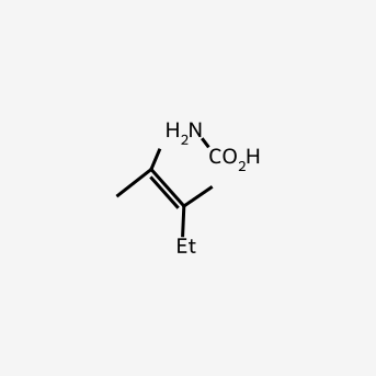 CCC(C)=C(C)C.NC(=O)O